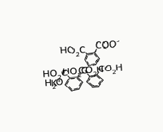 O.O=C(O)c1ccccc1C(=O)O.O=C(O)c1ccccc1C(=O)O.O=C([O-])c1ccccc1C(=O)O.[K+]